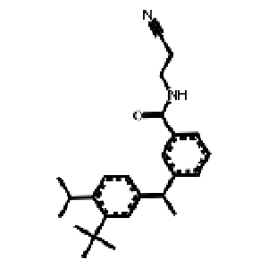 CC(C)c1ccc(C(C)c2cccc(C(=O)NCCC#N)c2)cc1C(C)(C)C